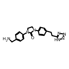 NCc1ccc(N2CCN(c3ccc(CCc4nnn[nH]4)cc3)C2=O)cc1